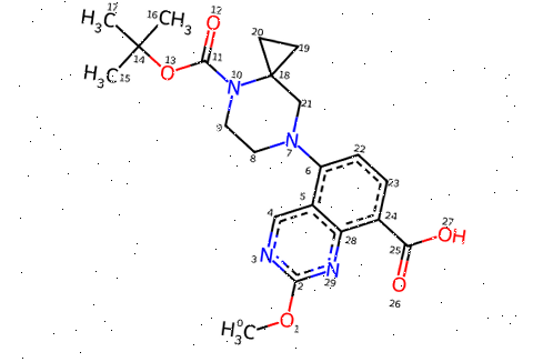 COc1ncc2c(N3CCN(C(=O)OC(C)(C)C)C4(CC4)C3)ccc(C(=O)O)c2n1